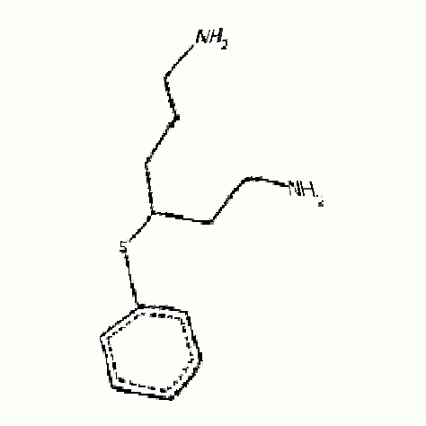 NCCCC(CCN)Sc1ccccc1